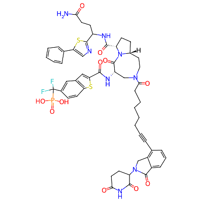 NC(=O)CCC(NC(=O)[C@@H]1CC[C@@H]2CCN(C(=O)CCCCCC#Cc3cccc4c3CN(C3CCC(=O)NC3=O)C4=O)C[C@H](NC(=O)c3cc4cc(C(F)(F)P(=O)(O)O)ccc4s3)C(=O)N21)c1ncc(-c2ccccc2)s1